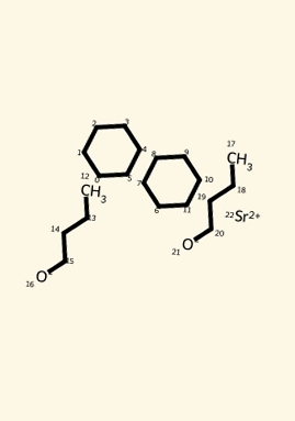 C1CCCCC1.C1CCCCC1.CCCC[O-].CCCC[O-].[Sr+2]